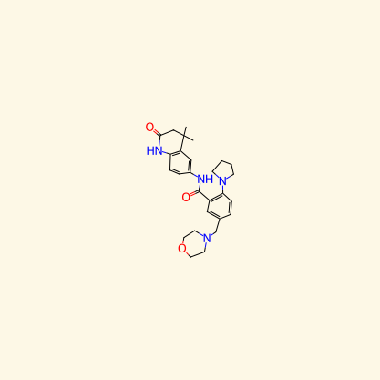 CC1(C)CC(=O)Nc2ccc(NC(=O)c3cc(CN4CCOCC4)ccc3N3CCCC3)cc21